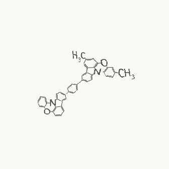 Cc1ccc2c(c1)Oc1cc(C)cc3c4cc(-c5ccc(-c6ccc7c(c6)c6cccc8c6n7-c6ccccc6O8)cc5)ccc4n-2c13